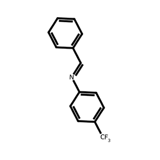 FC(F)(F)c1ccc(N=Cc2ccccc2)cc1